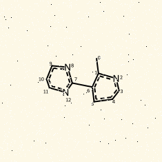 Cc1ncccc1-c1ncccn1